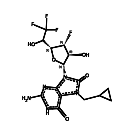 Nc1nc2c(c(=O)[nH]1)n(CC1CC1)c(=O)n2[C@@H]1O[C@H](C(O)C(F)(F)F)[C@H](F)[C@H]1O